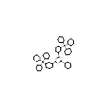 C1=C=CC(C(c2ccccc2)(c2ccccc2)c2cccc(-c3nc(-c4ccccc4)nc(-c4cccc(C(c5ccccc5)(c5ccccc5)c5ccccc5)c4)n3)c2)=CC=1